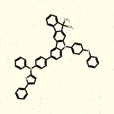 CC1(C)c2ccccc2-c2cc3c4cc(-c5ccc(N(c6ccccc6)c6ccc(-c7ccccc7)s6)cc5)ccc4n(C4=CCC(Oc5ccccc5)C=C4)c3cc21